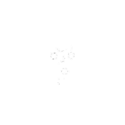 CN(C)C(=O)Oc1ccc(CC(=O)N(c2cccc(F)c2)C2C(=O)N(C3CCCCC3)c3ccccc32)cc1